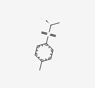 Cc1ccc(S(=O)(=O)[C@H](C)C#N)cc1